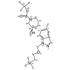 Cc1cc2cnn(COCC[Si](C)(C)C)c2cc1[C@H]1CCN(C(=O)OC(C)(C)C)C[C@@H]1O